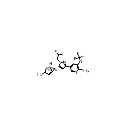 Nc1ncc(-c2cc([C@@H]3C4=CC(O)C[C@H]43)n(CC(F)F)n2)cc1OC(F)(F)F